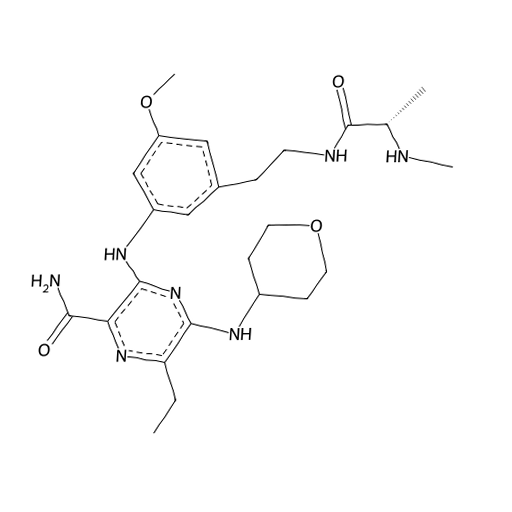 CCc1nc(C(N)=O)c(Nc2cc(CCNC(=O)[C@H](C)NC)cc(OC)c2)nc1NC1CCOCC1